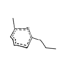 C[CH]Cc1cccc(C)n1